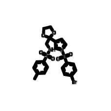 Cc1ccc(S(=O)(=O)NCC2(c3ccn(S(=O)(=O)c4ccc(Br)cc4)c3)OCCO2)cc1